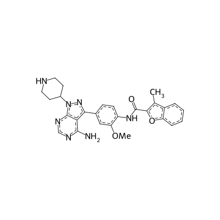 COc1cc(-c2nn(C3CCNCC3)c3ncnc(N)c23)ccc1NC(=O)c1oc2ccccc2c1C